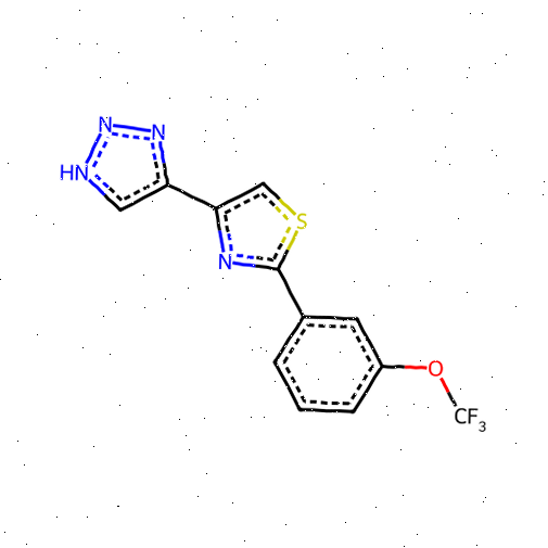 FC(F)(F)Oc1cccc(-c2nc(-c3c[nH]nn3)cs2)c1